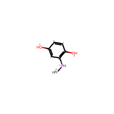 CCCPc1cc(O)ccc1O